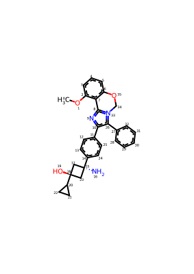 COc1cccc2c1-c1nc(-c3ccc([C@]4(N)C[C@@](O)(C5CC5)C4)cc3)c(-c3ccccc3)n1CO2